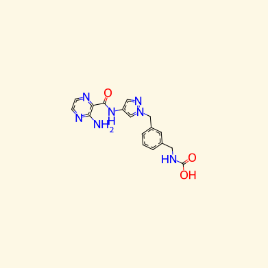 Nc1nccnc1C(=O)Nc1cnn(Cc2cccc(CNC(=O)O)c2)c1